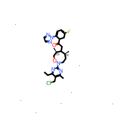 CCc1nc(N2CC[C@H](C)C(CC(=O)C3CC(F)=CC=C3n3nccn3)[C@H](C)CO2)nc(C)c1CCl